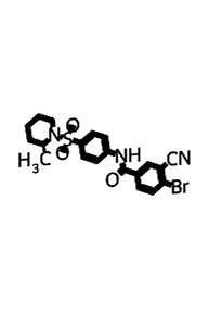 C[C@H]1CCCCN1S(=O)(=O)c1ccc(NC(=O)c2ccc(Br)c(C#N)c2)cc1